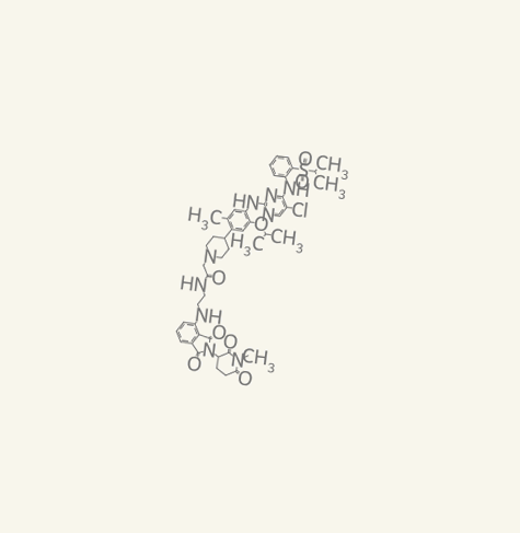 Cc1cc(Nc2ncc(Cl)c(Nc3ccccc3S(=O)(=O)C(C)C)n2)c(OC(C)C)cc1C1CCN(CC(=O)NCCNc2cccc3c2C(=O)N(C2CCC(=O)N(C)C2=O)C3=O)CC1